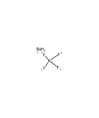 F[B-](F)(F)F.[BaH2]